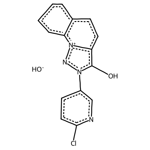 Oc1c2ccc3ccccc3[n+]2nn1-c1ccc(Cl)nc1.[OH-]